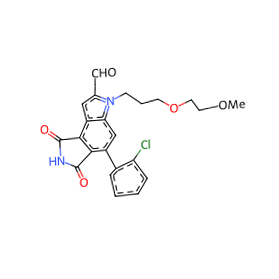 COCCOCCCn1c(C=O)cc2c3c(c(-c4ccccc4Cl)cc21)C(=O)NC3=O